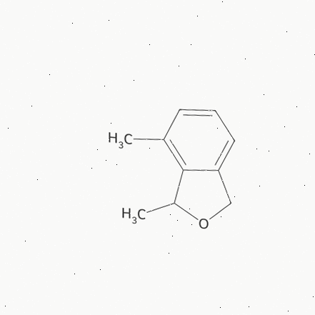 Cc1cccc2c1C(C)OC2